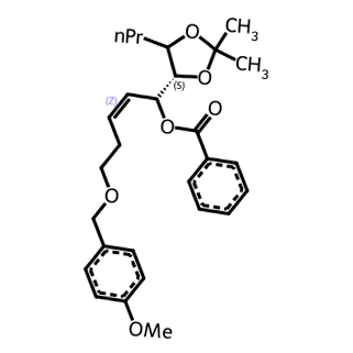 CCCC1OC(C)(C)O[C@@H]1C(/C=C\CCOCc1ccc(OC)cc1)OC(=O)c1ccccc1